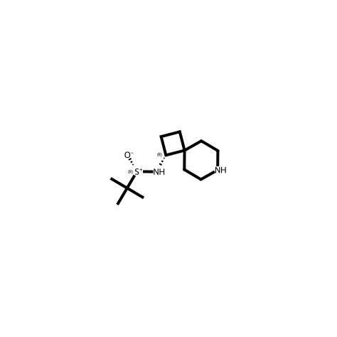 CC(C)(C)[S@+]([O-])N[C@@H]1CCC12CCNCC2